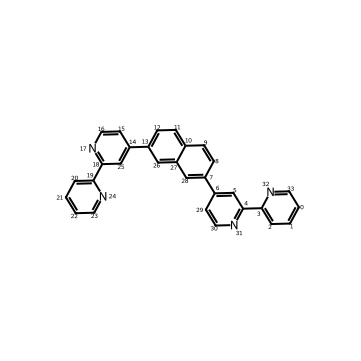 c1ccc(-c2cc(-c3ccc4ccc(-c5ccnc(-c6ccccn6)c5)cc4c3)ccn2)nc1